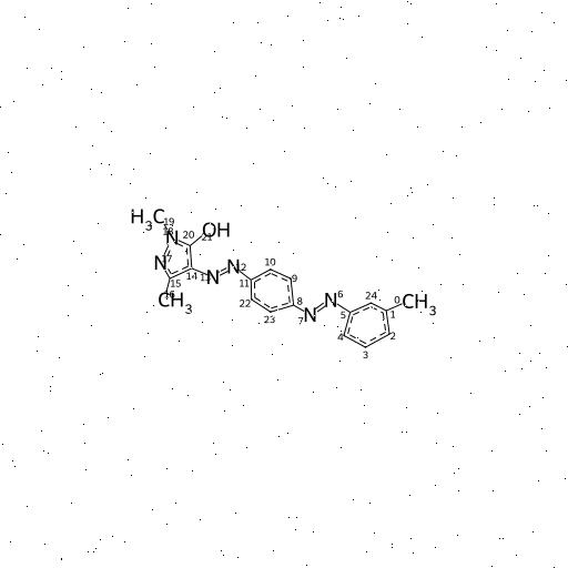 Cc1cccc(/N=N/c2ccc(/N=N/c3c(C)nn(C)c3O)cc2)c1